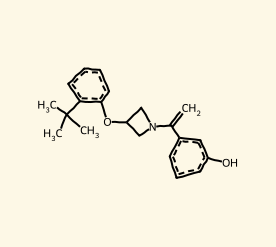 C=C(c1cccc(O)c1)N1CC(Oc2ccccc2C(C)(C)C)C1